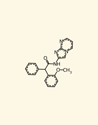 COc1ccccc1C(C(=O)Nc1cn2cccnc2n1)c1ccccc1